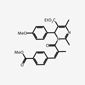 CCOC(=O)C1=C(C)N=C(C)N(C(=O)/C(C)=C\c2ccc(C(=O)OC)cc2)C1c1ccc(OC)cc1